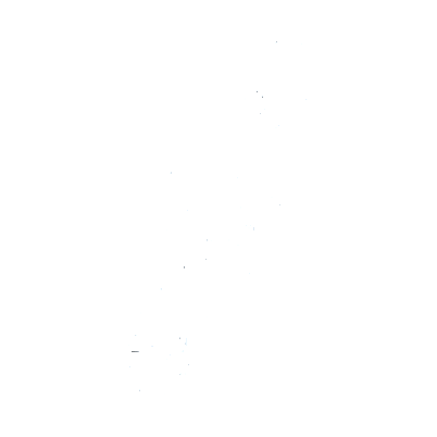 CN1C2C=CC=CC2CCC2(C)C=C(c3ccc4c(c3)C3c5ccccc5-c5ccc(-c6ccc7c(c6)CC[C@@]6(C)C=CC=CC6(C)N7)cc5C3c3ccccc3-4)C=CC12C